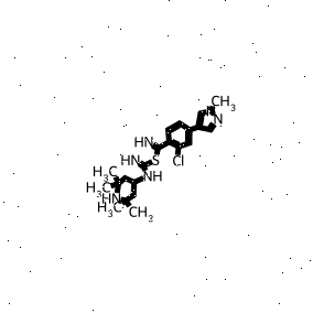 Cn1cc(-c2ccc(C(=N)SC(=N)NC3CC(C)(C)NC(C)(C)C3)c(Cl)c2)cn1